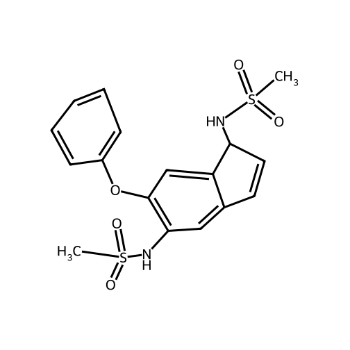 CS(=O)(=O)Nc1cc2c(cc1Oc1ccccc1)C(NS(C)(=O)=O)C=C2